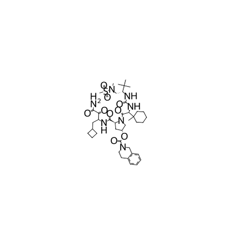 CN(C[C@@H](NC(=O)N[C@H](C(=O)N1C[C@H](OC(=O)N2CCc3ccccc3C2)C[C@H]1C(=O)NC(CC1CCC1)C(=O)C(N)=O)C1(C)CCCCC1)C(C)(C)C)S(C)(=O)=O